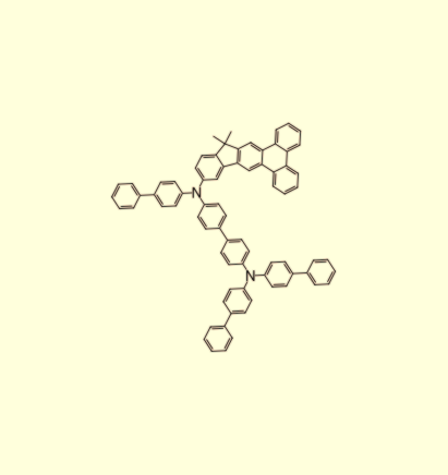 CC1(C)c2ccc(N(c3ccc(-c4ccccc4)cc3)c3ccc(-c4ccc(N(c5ccc(-c6ccccc6)cc5)c5ccc(-c6ccccc6)cc5)cc4)cc3)cc2-c2cc3c4ccccc4c4ccccc4c3cc21